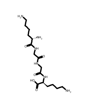 NCCCC[C@H](NC(=O)CNC(=O)CNC(=O)[C@@H](N)CCCCN)C(=O)O